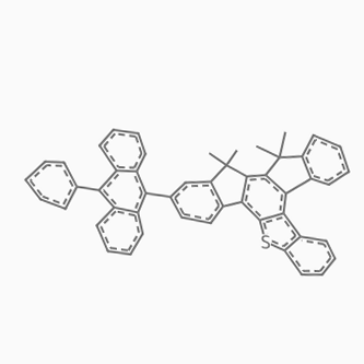 CC1(C)c2cc(-c3c4ccccc4c(-c4ccccc4)c4ccccc34)ccc2-c2c1c1c(c3c2sc2ccccc23)-c2ccccc2C1(C)C